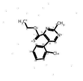 CCOC(=S)c1nc(C)ncc1-c1ccccc1Cl